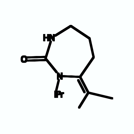 CC(C)=C1CCCNC(=O)N1C(C)C